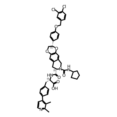 Cc1nccc(-c2ccc(C[C@H](NC(=O)[C@@H]3Cc4cc5c(cc4CN3C(=O)NC3CCCC3)O[C@@H](c3ccc(OCc4ccc(Cl)c(Cl)c4)cc3)CO5)C(=O)O)cc2)c1C